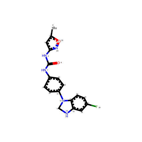 CC(C)(C)c1cc(NC(=O)Nc2ccc(N3CNc4cc(F)ccc43)cc2)no1